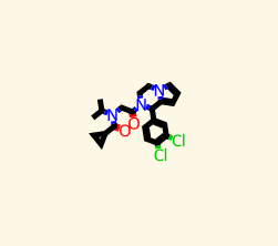 CC(C)N(CC(=O)N1CCn2cccc2C1c1ccc(Cl)c(Cl)c1)C(=O)C1CC1